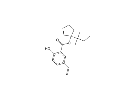 C=Cc1ccc(O)c(C(=O)OC2(C(C)(C)CC)CCCC2)c1